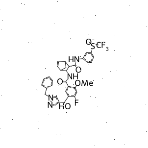 COc1cc(F)c(C(O)c2cnn(Cc3ccccc3)c2)cc1C(=O)NC1C2C=CC(C2)C1C(=O)Nc1cccc([S+]([O-])C(F)(F)F)c1